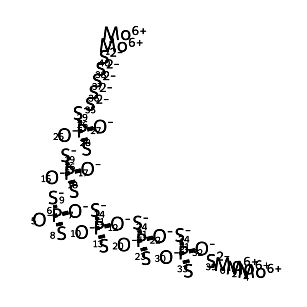 [Mo+6].[Mo+6].[Mo+6].[Mo+6].[Mo+6].[O-]P([O-])(=S)[S-].[O-]P([O-])(=S)[S-].[O-]P([O-])(=S)[S-].[O-]P([O-])(=S)[S-].[O-]P([O-])(=S)[S-].[O-]P([O-])(=S)[S-].[S-2].[S-2].[S-2].[S-2].[S-2].[S-2]